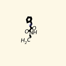 C=CCNC(=O)C(=O)/C=C/c1ccccc1